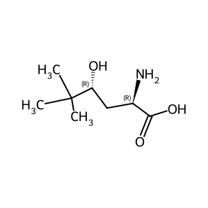 CC(C)(C)[C@H](O)C[C@@H](N)C(=O)O